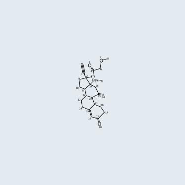 C#C[C@]1(OC(=O)COC)CCC2C3CCC4=CC(=O)CCC4C3C(=C)CC21CC